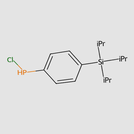 CC(C)[Si](c1ccc(PCl)cc1)(C(C)C)C(C)C